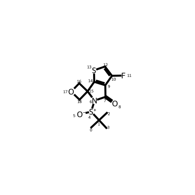 CC(C)(C)[S+]([O-])N1C(=O)c2c(F)csc2C12COC2